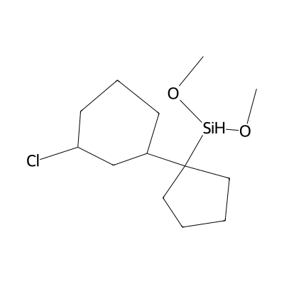 CO[SiH](OC)C1(C2CCCC(Cl)C2)CCCC1